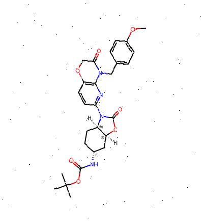 COc1ccc(CN2C(=O)COc3ccc(N4C(=O)O[C@H]5C[C@H](NC(=O)OC(C)(C)C)CC[C@H]54)nc32)cc1